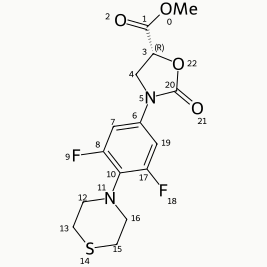 COC(=O)[C@H]1CN(c2cc(F)c(N3CCSCC3)c(F)c2)C(=O)O1